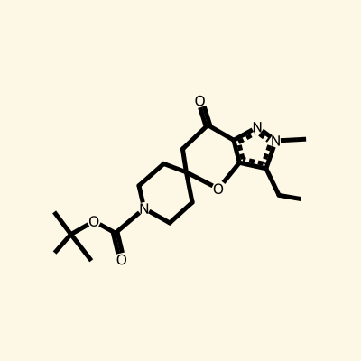 CCc1c2c(nn1C)C(=O)CC1(CCN(C(=O)OC(C)(C)C)CC1)O2